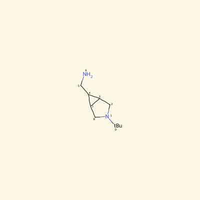 CC(C)(C)N1CC2C(CN)C2C1